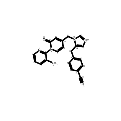 Cc1cccnc1-n1ccc(Cn2cncc2Cc2ccc(C#N)cc2)cc1=O